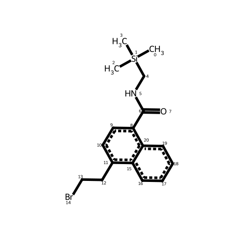 C[Si](C)(C)CNC(=O)c1ccc(CCBr)c2ccccc12